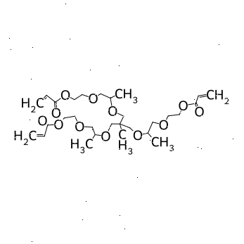 C=CC(=O)OCCOCC(C)OCC(C)(COC(C)COCCOC(=O)C=C)COC(C)COCCOC(=O)C=C